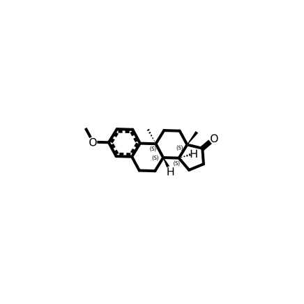 COc1ccc2c(c1)CC[C@H]1[C@@H]3CCC(=O)[C@@]3(C)CC[C@]21C